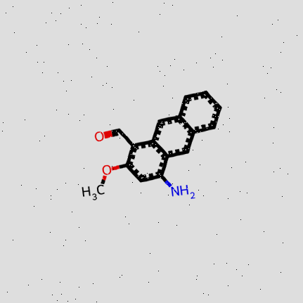 COc1cc(N)c2cc3ccccc3cc2c1C=O